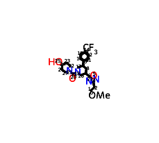 COCCc1noc(C2CC(c3ccc(C(F)(F)F)cc3)CN(C(=O)N3CCC(O)CC3)C2)n1